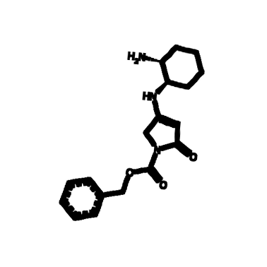 N[C@@H]1CCCC[C@H]1NC1=CC(=O)N(C(=O)OCc2ccccc2)C1